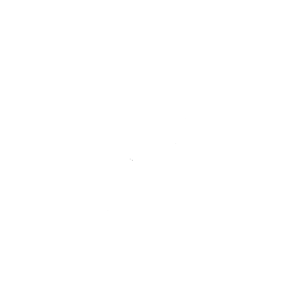 c1ccc(-c2ccc(N(c3ccc(-c4cc5ccccc5c5ccccc45)cc3)c3cccc4c3oc3ccccc34)cc2-c2ccccc2)cc1